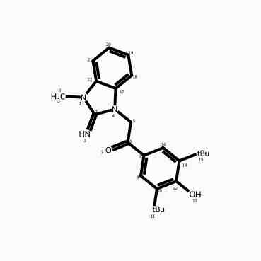 Cn1c(=N)n(CC(=O)c2cc(C(C)(C)C)c(O)c(C(C)(C)C)c2)c2ccccc21